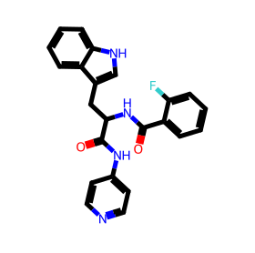 O=C(NC(Cc1c[nH]c2ccccc12)C(=O)Nc1ccncc1)c1ccccc1F